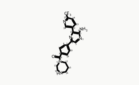 Nc1ncc(-c2ccc(C(=O)N3CCCNCC3)cc2)nc1-c1ccc(C(F)(F)F)nc1